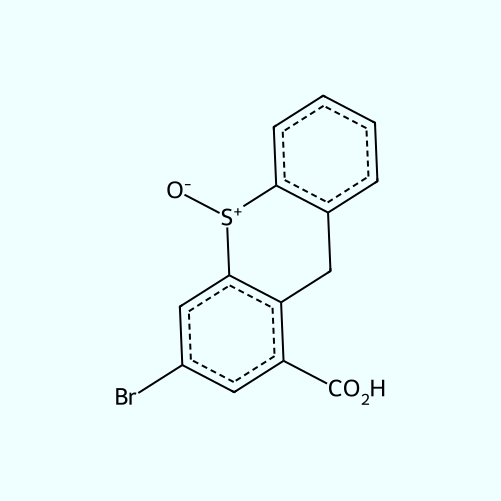 O=C(O)c1cc(Br)cc2c1Cc1ccccc1[S+]2[O-]